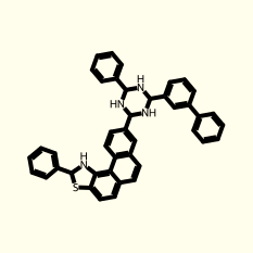 c1ccc(-c2cccc(C3NC(c4ccccc4)NC(c4ccc5c(ccc6ccc7c(c65)NC(c5ccccc5)S7)c4)N3)c2)cc1